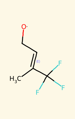 C/C(=C\C[O])C(F)(F)F